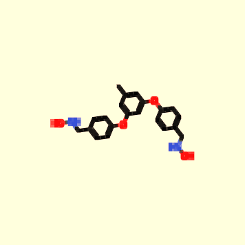 Cc1cc(Oc2ccc(CNO)cc2)cc(Oc2ccc(CNO)cc2)c1